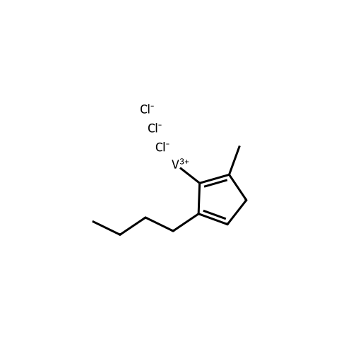 CCCCC1=CCC(C)=[C]1[V+3].[Cl-].[Cl-].[Cl-]